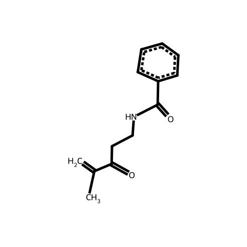 C=C(C)C(=O)CCNC(=O)c1ccccc1